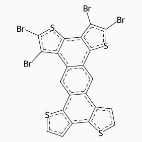 Brc1sc2c(c1Br)c1cc3c(cc1c1sc(Br)c(Br)c12)c1ccsc1c1ccsc31